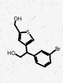 OCc1cc(C(CO)c2cccc(Br)c2)cs1